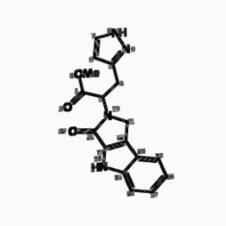 COC(=O)C(Cc1cc[nH]n1)N1Cc2c([nH]c3ccccc23)C1=O